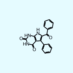 O=C(c1ccccc1)c1[nH]c2[nH]c(=O)[nH]c(=O)c2c1-c1ccccc1